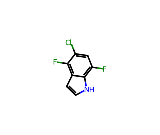 Fc1c(Cl)cc(F)c2[nH]ccc12